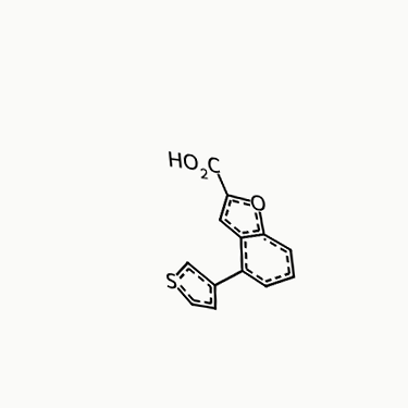 O=C(O)c1cc2c(-c3ccsc3)cccc2o1